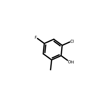 Cc1cc(F)cc(Cl)c1O